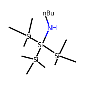 CCCCN[Si]([Si](C)(C)C)([Si](C)(C)C)[Si](C)(C)C